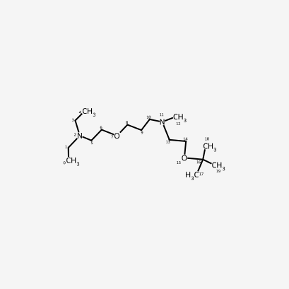 CCN(CC)CCOCCCN(C)CCOC(C)(C)C